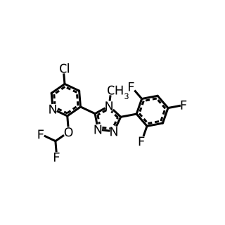 Cn1c(-c2cc(Cl)cnc2OC(F)F)nnc1-c1c(F)cc(F)cc1F